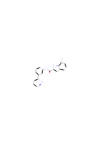 Cc1ccc(F)c2cc(C(=O)Nc3cccc(-c4ccccn4)c3)[nH]c12